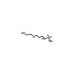 CC(C)(C)[Si](C)(C)NCCCOCCO